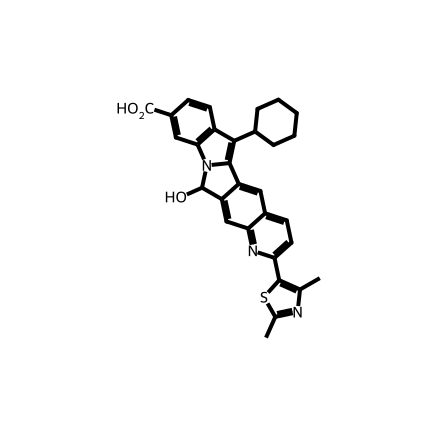 Cc1nc(C)c(-c2ccc3cc4c(cc3n2)C(O)n2c-4c(C3CCCCC3)c3ccc(C(=O)O)cc32)s1